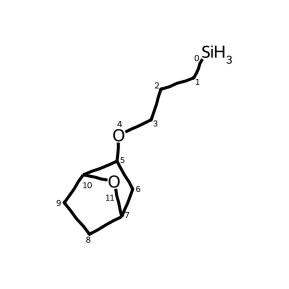 [SiH3]CCCOC1CC2CCC1O2